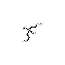 CCCCCCCCCCCC[PH](O)(O)CCCCCCCCCCCC